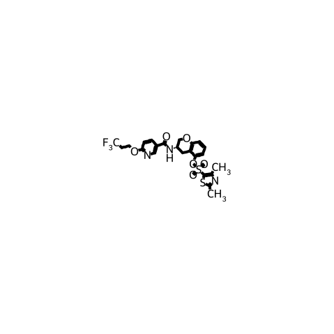 Cc1nc(C)c(S(=O)(=O)Oc2cccc3c2C[C@H](NC(=O)c2ccc(OCCC(F)(F)F)nc2)CO3)s1